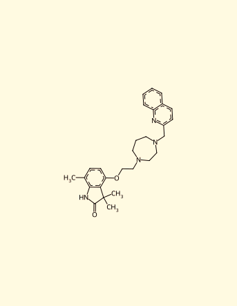 Cc1ccc(OCCN2CCCN(Cc3ccc4ccccc4n3)CC2)c2c1NC(=O)C2(C)C